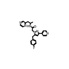 CC(Cc1cnccn1)NC(=O)Cn1nc(-c2ccncc2)cc1Cc1ccc(F)cc1